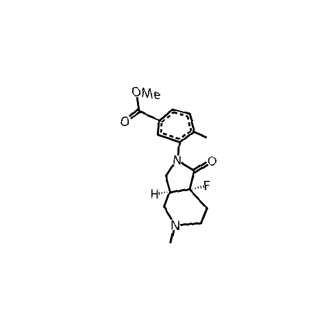 COC(=O)c1ccc(C)c(N2C[C@@H]3CN(C)CC[C@]3(F)C2=O)c1